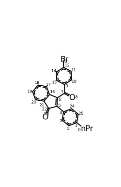 CCCc1ccc(C2=C(C(=O)c3ccc(Br)cc3)c3ccccc3C2=O)cc1